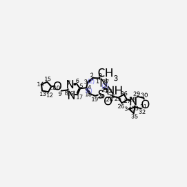 CC1/C=C\C(c2cnc(COC3CCCC3)nc2)=C/CS/C(NC(=O)C2CC(N3CCOCC34CC4)C2)=N\1